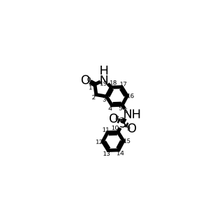 O=C1Cc2cc(NS(=O)(=O)c3ccccc3)ccc2N1